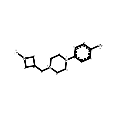 CC(C)c1ccc(N2CCN(CC3CN(C(C)C)C3)CC2)cc1